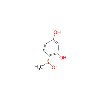 C[S+]([O-])c1ccc(O)cc1O